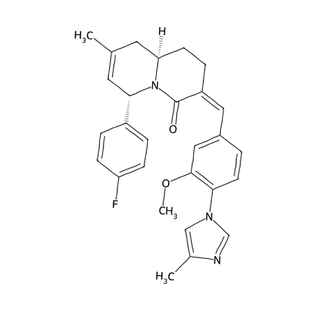 COc1cc(C=C2CC[C@@H]3CC(C)=C[C@@H](c4ccc(F)cc4)N3C2=O)ccc1-n1cnc(C)c1